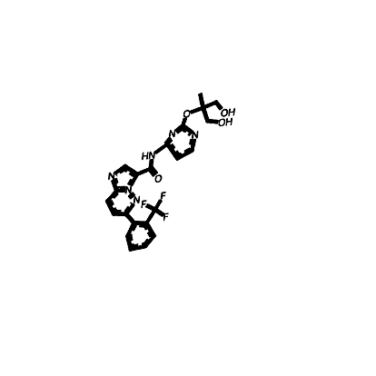 CC(CO)(CO)Oc1nccc(NC(=O)c2cnc3ccc(-c4ccccc4C(F)(F)F)nn23)n1